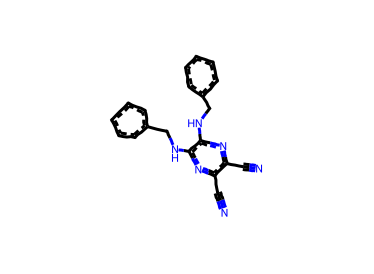 N#Cc1nc(NCc2ccccc2)c(NCc2ccccc2)nc1C#N